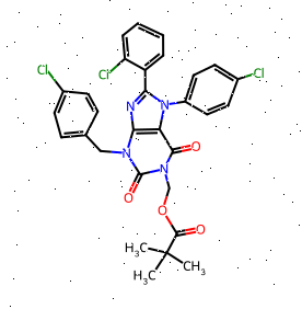 CC(C)(C)C(=O)OCn1c(=O)c2c(nc(-c3ccccc3Cl)n2-c2ccc(Cl)cc2)n(Cc2ccc(Cl)cc2)c1=O